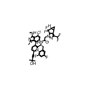 CNc1nn(C)c2c(-c3ccc(C#CC(C)(C)O)nc3[C@H](Cc3cc(F)cc(F)c3)NC(=O)Cn3nc(C(F)F)c4c3C(F)(F)[C@@H]3CC43)ccc(Cl)c12